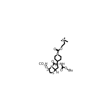 CC(C)(C)OC(=O)N[C@]1(C2CCN(C(=O)OCC[Si](C)(C)C)CC2)C[C@@H]2SC[C@@H](OC(=O)O)N2C1=O